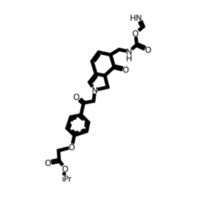 CC(C)OC(=O)COc1ccc(C(=O)CN2C=C3C=CC(CNC(=O)OC=N)C(=O)C3C2)cc1